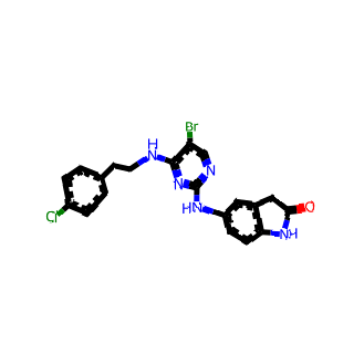 O=C1Cc2cc(Nc3ncc(Br)c(NCCc4ccc(Cl)cc4)n3)ccc2N1